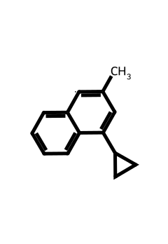 Cc1[c]c2ccccc2c(C2CC2)c1